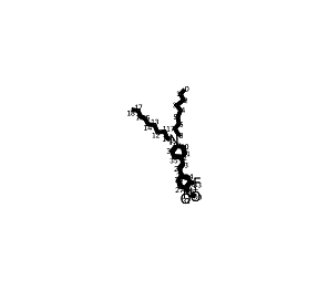 CCCCCCCCCN(CCCCCCCCC)c1ccc(C=Cc2ccc([N+](=O)[O-])c(F)c2)cc1